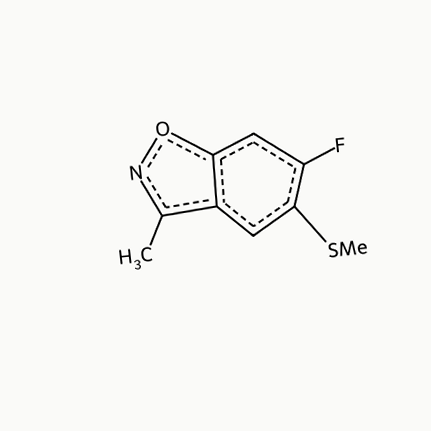 CSc1cc2c(C)noc2cc1F